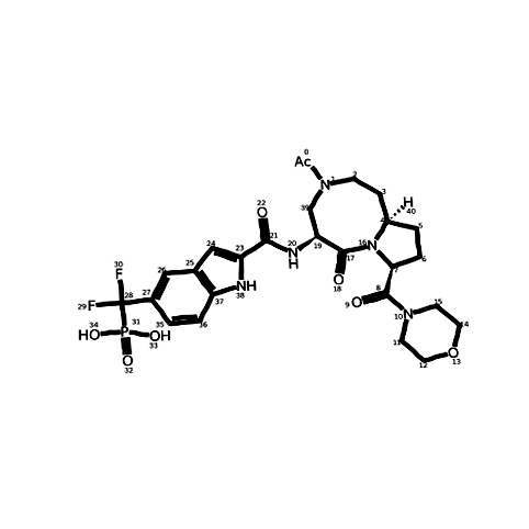 CC(=O)N1CC[C@H]2CC[C@@H](C(=O)N3CCOCC3)N2C(=O)[C@@H](NC(=O)c2cc3cc(C(F)(F)P(=O)(O)O)ccc3[nH]2)C1